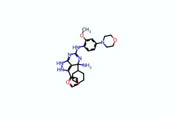 COc1cc(N2CCOCC2)ccc1NC1=NC(N)(C2CCCCC2)C2=C(c3ccco3)NNC2=N1